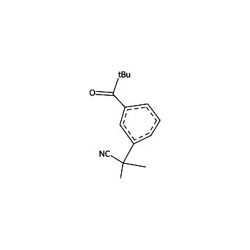 CC(C)(C)C(=O)c1cccc(C(C)(C)C#N)c1